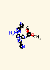 CCOc1cc(CN2CCC(C3CC(N(N)c4ncc(-c5cccnc5)cn4)CCN3c3ncc(-c4cccnc4)cn3)CC2)cc(OCC)c1